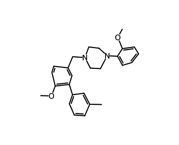 COc1ccc(CN2CCN(c3ccccc3OC)CC2)cc1-c1cccc(C)c1